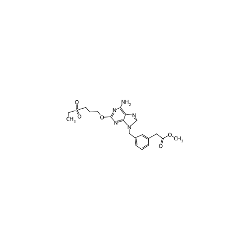 CCS(=O)(=O)CCCOc1nc(N)c2ncn(Cc3cccc(CC(=O)OC)c3)c2n1